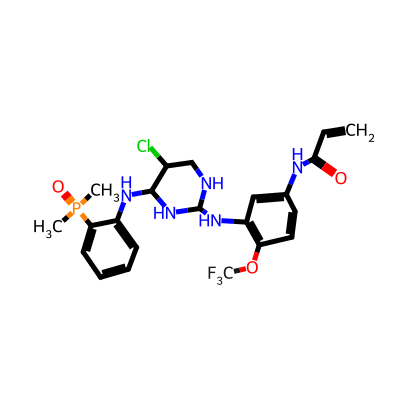 C=CC(=O)Nc1ccc(OC(F)(F)F)c(NC2NCC(Cl)C(Nc3ccccc3P(C)(C)=O)N2)c1